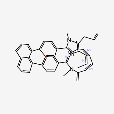 C=CCc1c(/C=C\C)nc(-c2ccc(-c3cccc4cccc(-c5ccc(/C6=N/C(C)/C=C\C=C/C(=C)N6C)cc5)c34)cc2)n1C